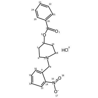 Cl.O=C(OC1CCN(Cc2ccccc2[N+](=O)[O-])CC1)c1ccccc1